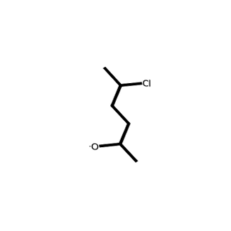 CC([O])CCC(C)Cl